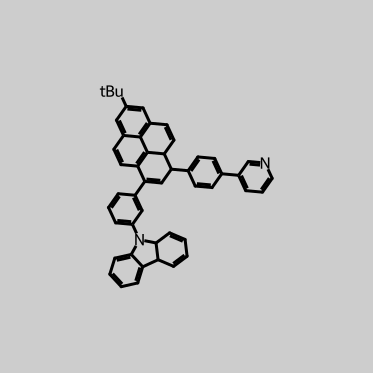 CC(C)(C)c1cc2c3c4c(ccc3c1)C(c1cccc(N3c5ccccc5C5C=CC=CC53)c1)=CC(c1ccc(-c3cccnc3)cc1)C4C=C2